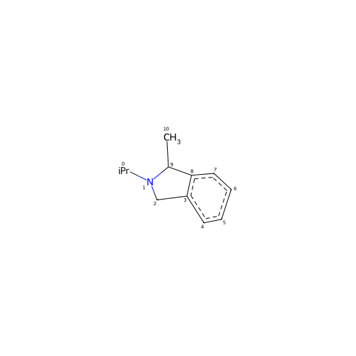 CC(C)N1Cc2ccccc2C1C